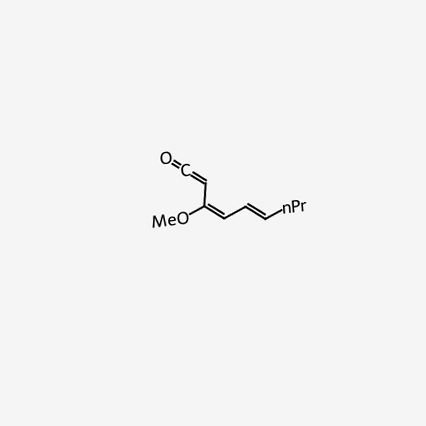 CCCC=CC=C(C=C=O)OC